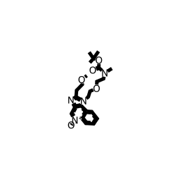 COCCc1nc2c[n+]([O-])c3ccccc3c2n1CCOCCN(C)C(=O)OC(C)(C)C